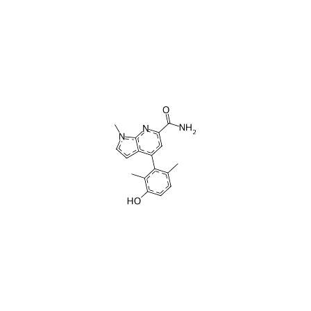 Cc1ccc(O)c(C)c1-c1cc(C(N)=O)nc2c1ccn2C